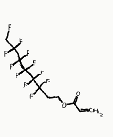 C=CC(=O)OCCC(F)(F)C(F)(F)C(F)(F)C(F)(F)C(F)(F)CF